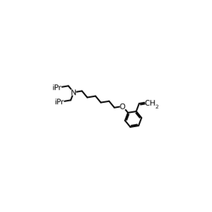 C=Cc1ccccc1OCCCCCCN(CC(C)C)CC(C)C